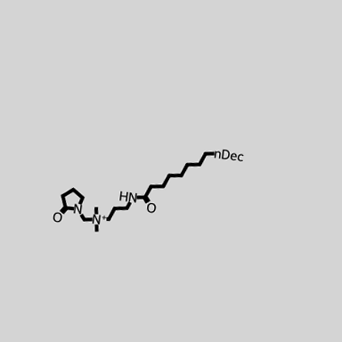 CCCCCCCCCCCCCCCCCC(=O)NCCC[N+](C)(C)CN1CCCC1=O